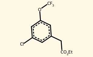 CCOC(=O)Cc1cc(Cl)cc(OC(F)(F)F)c1